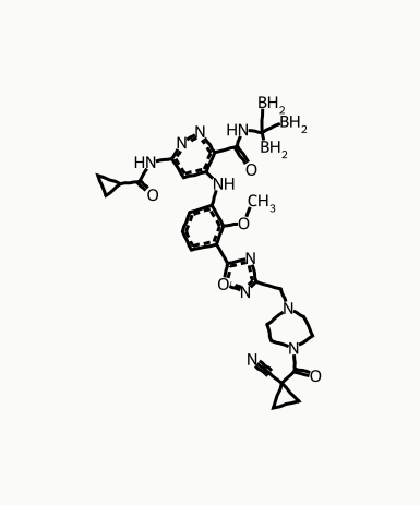 BC(B)(B)NC(=O)c1nnc(NC(=O)C2CC2)cc1Nc1cccc(-c2nc(CN3CCN(C(=O)C4(C#N)CC4)CC3)no2)c1OC